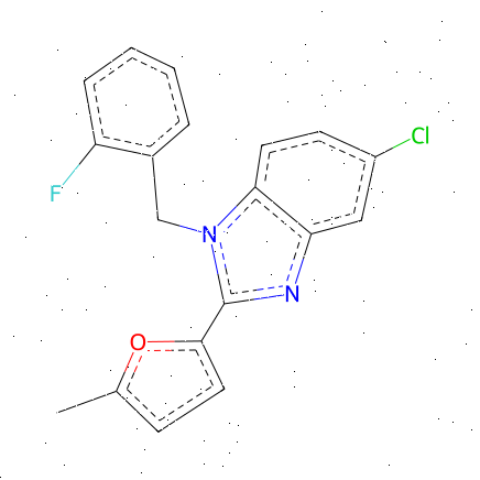 Cc1ccc(-c2nc3cc(Cl)ccc3n2Cc2ccccc2F)o1